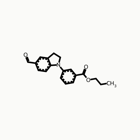 CCCOC(=O)c1cccc(N2CCc3cc(C=O)ccc32)c1